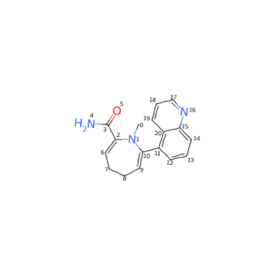 CN1C(C(N)=O)=CCCC=C1c1cccc2ncccc12